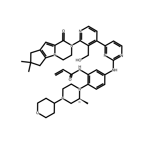 C=CC(=O)Nc1cc(Nc2nccc(-c3ccnc(N4CCn5c(cc6c5CC(C)(C)C6)C4=O)c3CO)n2)ccc1N1CCN(C2CCOCC2)C[C@@H]1C